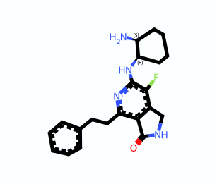 N[C@H]1CCCC[C@H]1Nc1nc(CCc2ccccc2)c2c(c1F)CNC2=O